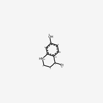 CCC1CCNc2cc(O)ccc21